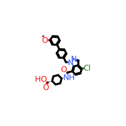 COc1cccc(-c2ccc(Cn3ncc4c(Cl)ccc(C(=O)N[C@H]5CC[C@@H](C(=O)O)CC5)c43)cc2)c1